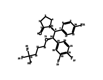 O=C1CCCN1[C@@H](c1ccc(F)cc1)[C@H](OCCCC(F)(F)F)c1ccc(F)c(F)c1